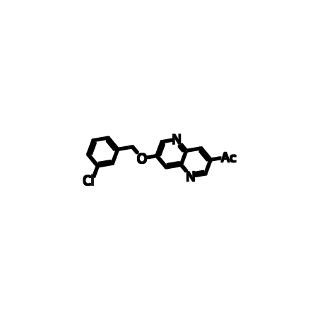 CC(=O)c1cnc2cc(OCc3cccc(Cl)c3)cnc2c1